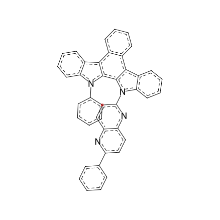 c1ccc(-c2ccc3nc(-n4c5ccccc5c5c6ccccc6c6c7ccccc7n(-c7ccccc7)c6c54)ccc3n2)cc1